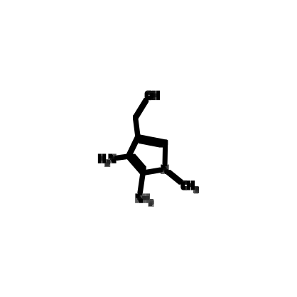 Cn1cc(CO)c(N)c1N